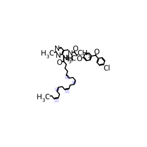 CC/C=C\C/C=C\C/C=C\C/C=C\C/C=C\CCCC(=O)Nc1nc(C)ncc1CNC(=O)C(C)(C)Oc1ccc(C(=O)c2ccc(Cl)cc2)cc1